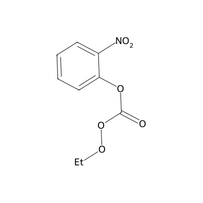 CCOOC(=O)Oc1ccccc1[N+](=O)[O-]